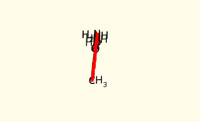 CCCCCCCCCCCCCCCCCCCCCCCCCCCCCCCCCCCCCCCCCCCCCCCCOC(=O)CCCCCCCCC(=O)NCCNCCNCCNCCN